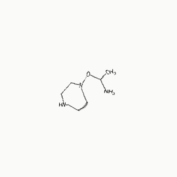 CC(N)ON1CCNCC1